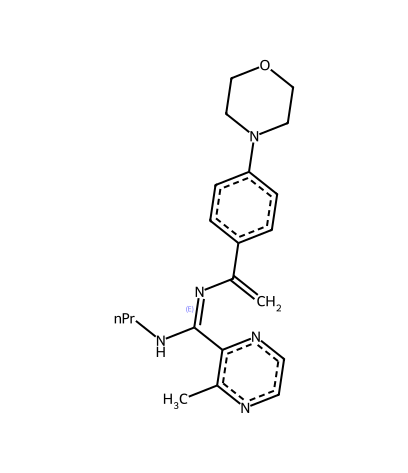 C=C(/N=C(/NCCC)c1nccnc1C)c1ccc(N2CCOCC2)cc1